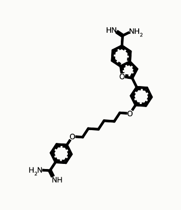 N=C(N)c1ccc(OCCCCCCOc2cccc(-c3cc4cc(C(=N)N)ccc4o3)c2)cc1